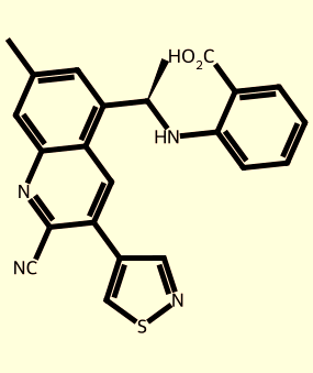 Cc1cc([C@@H](C)Nc2ccccc2C(=O)O)c2cc(-c3cnsc3)c(C#N)nc2c1